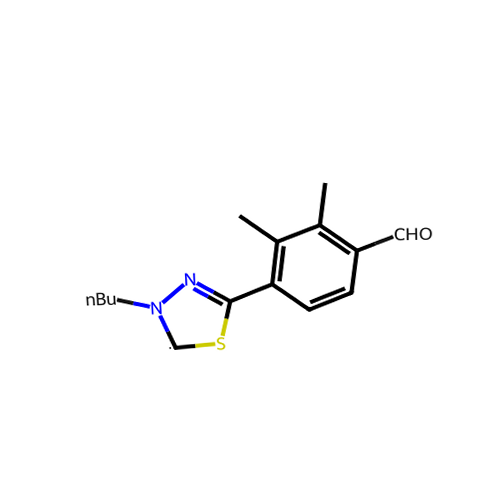 CCCCN1[CH]SC(c2ccc(C=O)c(C)c2C)=N1